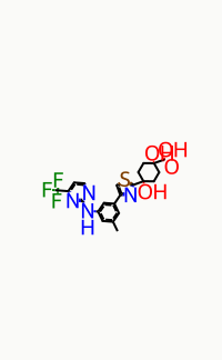 Cc1cc(Nc2nccc(C(F)(F)F)n2)cc(-c2csc([C@]3(O)CC[C@@](O)(C(=O)O)CC3)n2)c1